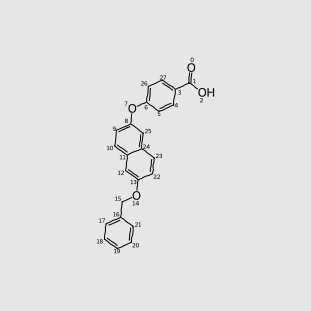 O=C(O)c1ccc(Oc2ccc3cc(OCc4ccccc4)ccc3c2)cc1